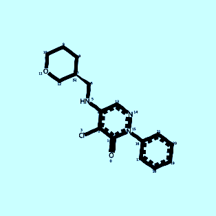 O=c1c(Cl)c(NC[C@@H]2CCCOC2)cnn1-c1ccccc1